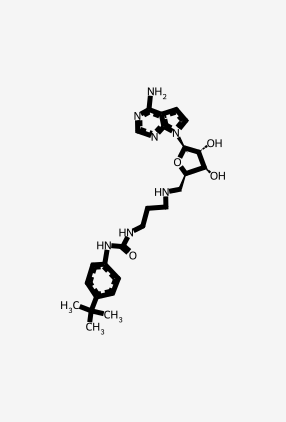 CC(C)(C)c1ccc(NC(=O)NCCCNC[C@H]2O[C@@H](n3ccc4c(N)ncnc43)[C@H](O)[C@@H]2O)cc1